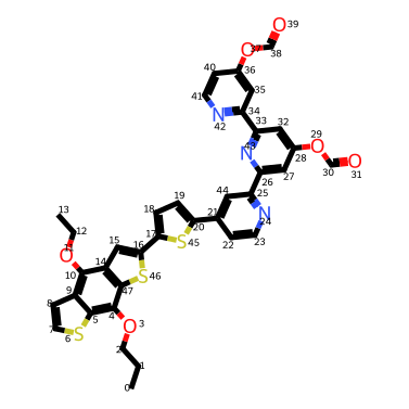 CCCOc1c2sccc2c(OCC)c2cc(-c3ccc(-c4ccnc(-c5cc(OC=O)cc(-c6cc(OC=O)ccn6)n5)c4)s3)sc12